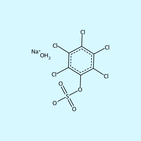 O.O=S(=O)([O-])Oc1c(Cl)c(Cl)c(Cl)c(Cl)c1Cl.[Na+]